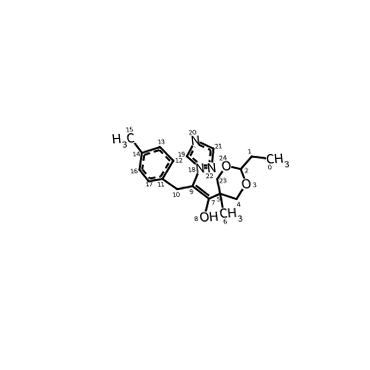 CCC1OCC(C)(C(O)=C(Cc2ccc(C)cc2)n2cncn2)CO1